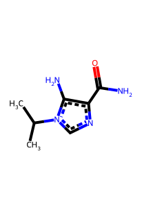 CC(C)n1cnc(C(N)=O)c1N